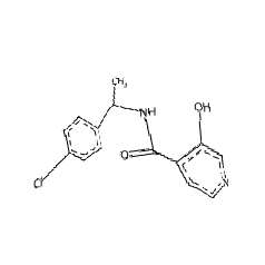 CC(NC(=O)c1ccncc1O)c1ccc(Cl)cc1